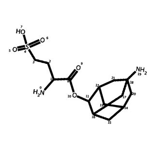 NC(CCS(=O)(=O)O)C(=O)OC1C2CC3CC1CC(N)(C3)C2